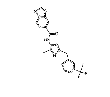 Cc1nc(Cc2cccc(C(F)(F)F)c2)sc1NC(=O)c1ccc2ncsc2c1